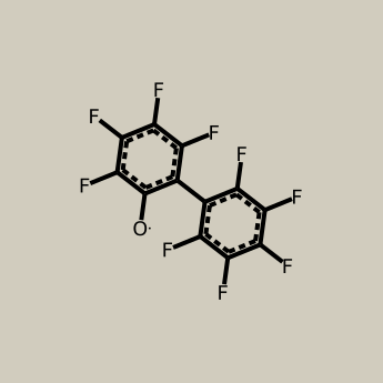 [O]c1c(F)c(F)c(F)c(F)c1-c1c(F)c(F)c(F)c(F)c1F